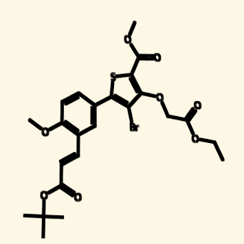 CCOC(=O)COc1c(C(=O)OC)sc(-c2ccc(OC)c(C=CC(=O)OC(C)(C)C)c2)c1Br